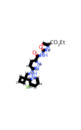 CCOC(=O)c1coc(NC(=O)c2ccc(NCC3(c4ncccc4F)CCC3)nn2)n1